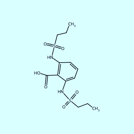 CCCS(=O)(=O)Nc1cccc(NS(=O)(=O)CCC)c1C(=O)O